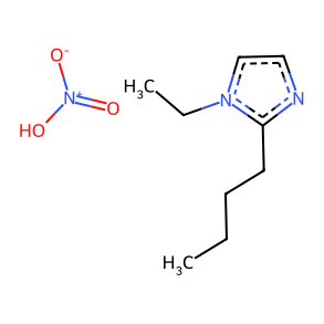 CCCCc1nccn1CC.O=[N+]([O-])O